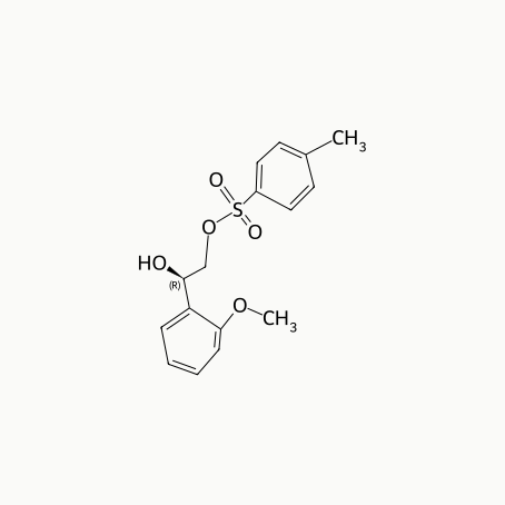 COc1ccccc1[C@@H](O)COS(=O)(=O)c1ccc(C)cc1